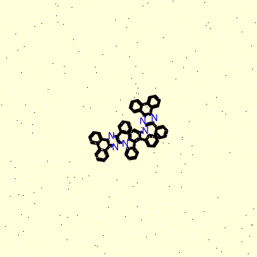 c1ccc(-c2nc3c4ccccc4c4ccccc4c3nc2-n2c3ccccc3c3c4c5ccccc5n(-c5nc6c7ccccc7c7ccccc7c6nc5-c5ccccc5)c4ccc32)cc1